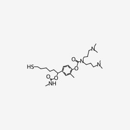 CNC(=O)OC(CCCCCS)c1ccc(OC(=O)N(CCCN(C)C)CCCN(C)C)c(C)c1